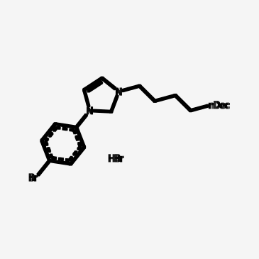 Br.CCCCCCCCCCCCCCN1C=CN(c2ccc(Br)cc2)C1